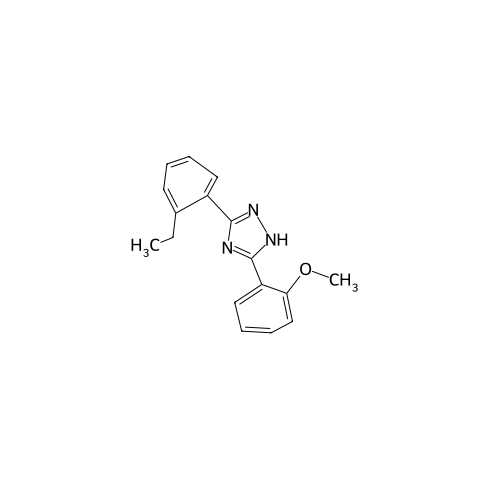 CCc1ccccc1-c1n[nH]c(-c2ccccc2OC)n1